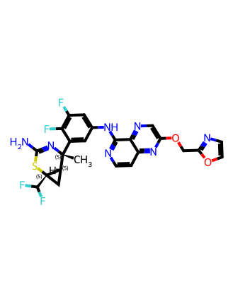 C[C@]1(c2cc(Nc3nccc4nc(OCc5ncco5)cnc34)cc(F)c2F)N=C(N)S[C@@]2(C(F)F)C[C@@H]12